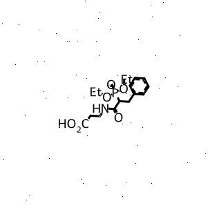 CCOP(=O)(OCC)C(Cc1ccccc1)C(=O)NCCC(=O)O